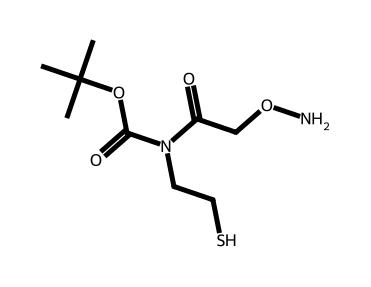 CC(C)(C)OC(=O)N(CCS)C(=O)CON